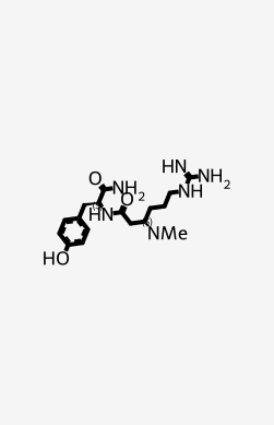 CN[C@@H](CCCNC(=N)N)CC(=O)N[C@@H](Cc1ccc(O)cc1)C(N)=O